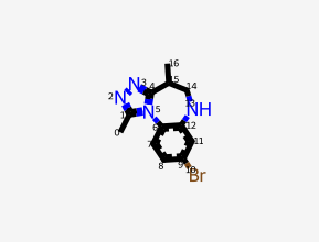 Cc1nnc2n1-c1ccc(Br)cc1NCC2C